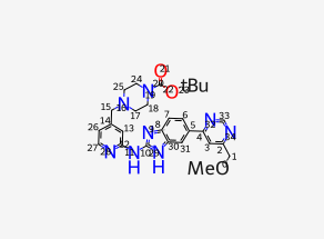 COCc1cc(-c2ccc3nc(Nc4cc(CN5CCN(C(=O)OC(C)(C)C)CC5)ccn4)[nH]c3c2)ncn1